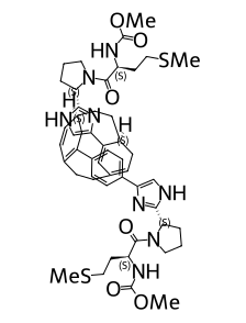 COC(=O)N[C@@H](CCSC)C(=O)N1CCC[C@H]1c1nc(C2=CC3=CC[C@@H]2CC[C@@H]2C=CC(=C(c4ccc(-c5c[nH]c([C@@H]6CCCN6C(=O)[C@H](CCSC)NC(=O)OC)n5)cc4)C2)CC3)c[nH]1